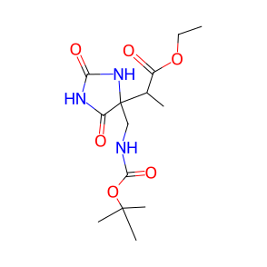 CCOC(=O)C(C)C1(CNC(=O)OC(C)(C)C)NC(=O)NC1=O